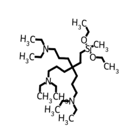 CCO[Si](C)(CCC(CCCN(CC)CC)(CCCN(CC)CC)CCCN(CC)CC)OCC